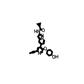 CC#Cc1cc(-c2ccn3nc(NC(=O)C4CC4)cc3c2)c(O[C@H]2CC[C@H](O)CC2)cn1